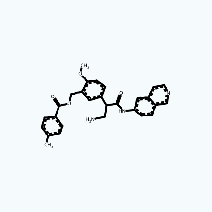 COc1ccc(C(CN)C(=O)Nc2ccc3cnccc3c2)cc1COC(=O)c1ccc(C)cc1